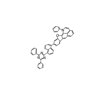 C1=CN(c2ccccc2)c2c3oc4cc(-c5cccc6c(-c7nc(-c8ccccc8)nc(-c8ccccc8)n7)cccc56)ccc4c3cc3cccc1c23